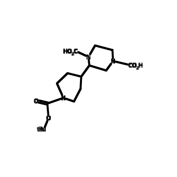 CC(C)(C)OC(=O)N1CCC(C2CN(C(=O)O)CCN2C(=O)O)CC1